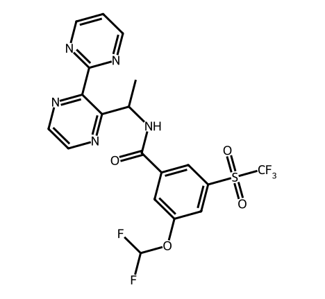 CC(NC(=O)c1cc(OC(F)F)cc(S(=O)(=O)C(F)(F)F)c1)c1nccnc1-c1ncccn1